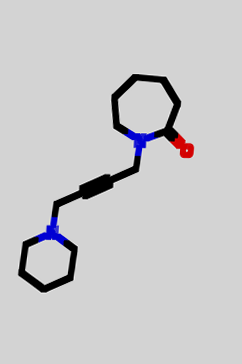 O=C1CCCCCN1CC#CCN1CCCCC1